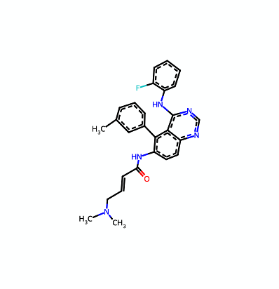 Cc1cccc(-c2c(NC(=O)/C=C/CN(C)C)ccc3ncnc(Nc4ccccc4F)c23)c1